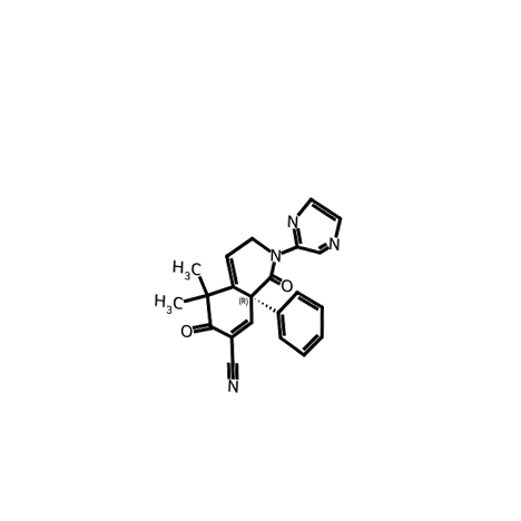 CC1(C)C(=O)C(C#N)=C[C@]2(c3ccccc3)C(=O)N(c3cnccn3)CC=C12